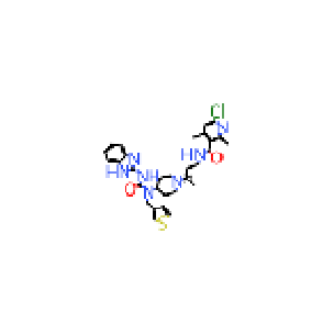 Cc1cc(Cl)nc(C)c1C(=O)NCC[C@@H](C)N1CCC(N(Cc2ccsc2)C(=O)Nc2nc3ccccc3[nH]2)CC1